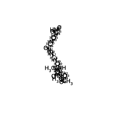 COc1cc(N2CCC(N3CCN(C(=O)C4CCN(c5ccc(N6CCC(=O)NC6=O)cc5)CC4)CC3)CC2)ccc1Nc1ncc(Cl)c(Nc2ccccc2P(C)(C)=O)n1